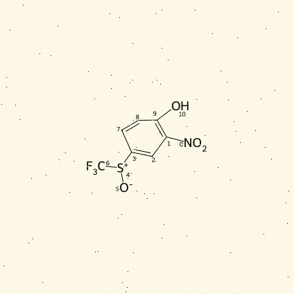 O=[N+]([O-])c1cc([S+]([O-])C(F)(F)F)ccc1O